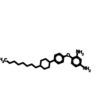 CCCCCCCCC1CCC(c2ccc(Oc3ccc(N)cc3N)cc2)CC1